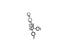 Fc1ccc(-c2nc3sc(N4CCC(N5CCCC5)CC4)nn3c2-c2ccncc2)cc1